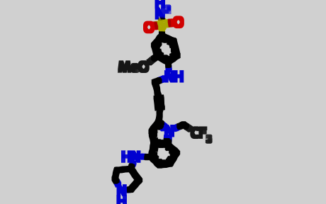 COc1cc(S(N)(=O)=O)ccc1NCC#Cc1cc2c(NC3CCNCC3)cccc2n1CC(F)(F)F